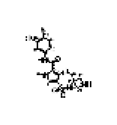 Cn1cc2c(c1C(=O)Nc1ccc(F)c(Cl)c1)OCC1(CNC1)NS2(=O)=O